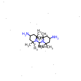 CCCCCC(N1C(C)(C)CC(N)CC1(C)C)N1C(C)(C)CC(N)CC1(C)C